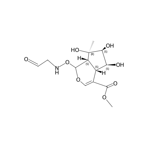 COC(=O)C1=COC(ONCC=O)[C@H]2[C@@H]1[C@H](O)[C@H](O)[C@]2(C)O